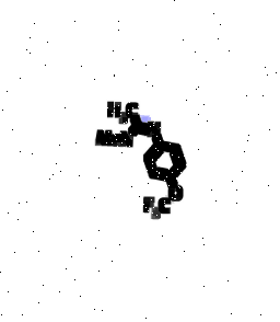 CN/C(C)=N\c1ccc(OC(F)(F)F)cc1